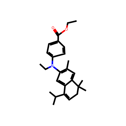 CCOC(=O)c1ccc(N(CC)c2cc3c(cc2C)C(C)(C)CC=C3C(C)C)cc1